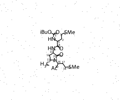 CSCCC(NC(=O)OCC(C)C)C(=O)NC1CC(C)N(C(CCSC)C(C)=O)C1=O